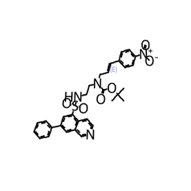 CC(C)(C)OC(=O)N(C/C=C/c1ccc([N+](=O)[O-])cc1)CCNS(=O)(=O)c1cc(-c2ccccc2)cc2cnccc12